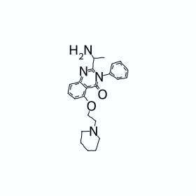 CC(N)c1nc2cccc(OCCN3CCCCC3)c2c(=O)n1-c1ccccc1